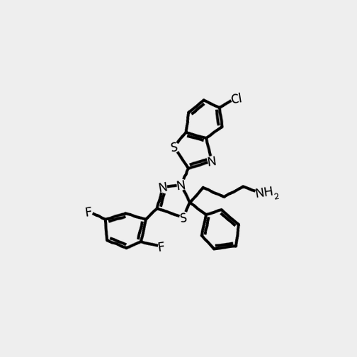 NCCCC1(c2ccccc2)SC(c2cc(F)ccc2F)=NN1c1nc2cc(Cl)ccc2s1